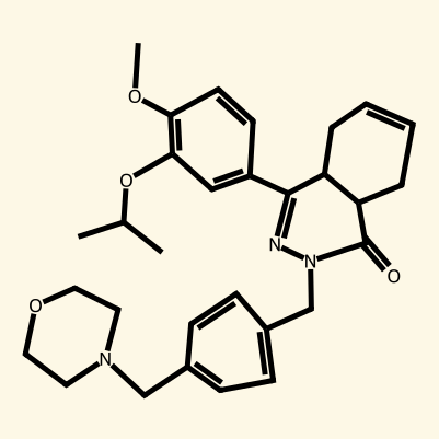 COc1ccc(C2=NN(Cc3ccc(CN4CCOCC4)cc3)C(=O)C3CC=CCC23)cc1OC(C)C